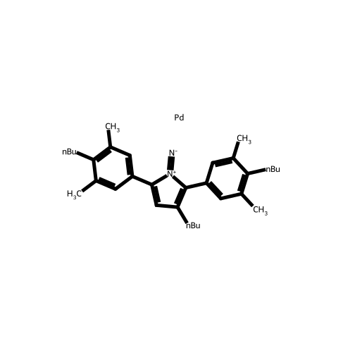 CCCCC1=C(c2cc(C)c(CCCC)c(C)c2)[N+](=[N-])C(c2cc(C)c(CCCC)c(C)c2)=C1.[Pd]